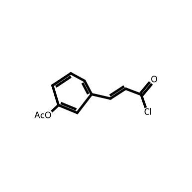 CC(=O)Oc1cccc(/C=C/C(=O)Cl)c1